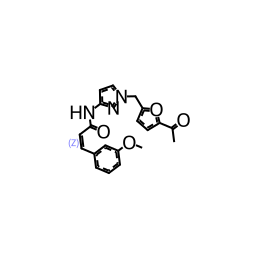 COc1cccc(/C=C\C(=O)Nc2ccn(Cc3ccc(C(C)=O)o3)n2)c1